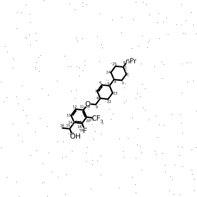 CCCC1CCC(C2C=CC(COc3ccc(C(C)O)c(F)c3C(F)(F)F)CC2)CC1